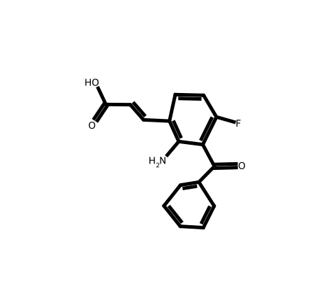 Nc1c(C=CC(=O)O)ccc(F)c1C(=O)c1ccccc1